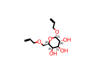 C=CCOC[C@H]1O[C@H](OCC=C)[C@H](O)[C@@H](O)[C@H]1O